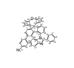 N#Cc1ccc(-c2ccc3c(c2)-c2c(-n4c(-c5ccccc5)nc5ccccc54)cccc2C32c3ccccc3Oc3ccccc32)cc1